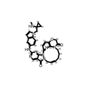 CNC1(Cn2ccc3cc(Nc4ncc5c(=O)n6n(c5n4)-c4ccc5c(n4)N(CCC/C=C\C6)C(=O)CO5)ccc32)CC1